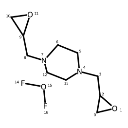 C1OC1CN1CCN(CC2CO2)CC1.FOF